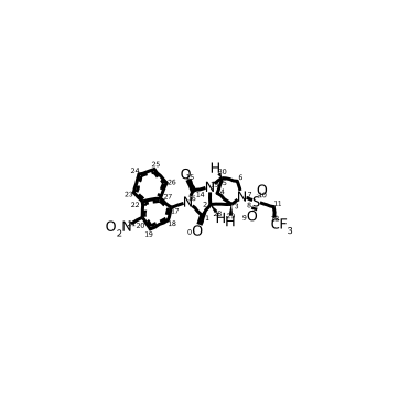 O=C1[C@H]2[C@@H]3C[C@@H](CN3S(=O)(=O)CC(F)(F)F)N2C(=O)N1c1ccc([N+](=O)[O-])c2ccccc12